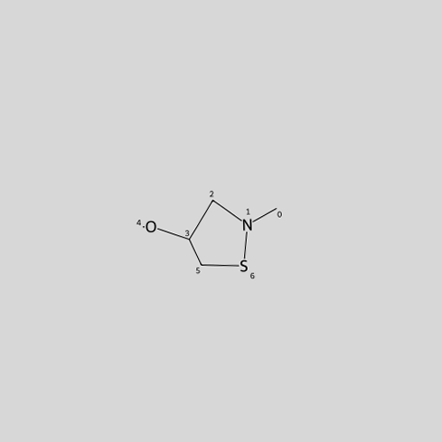 CN1CC([O])CS1